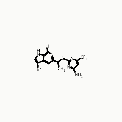 CC(Sc1nc(N)cc(C(F)(F)F)n1)c1cc2c(Br)c[nH]c2c(Cl)n1